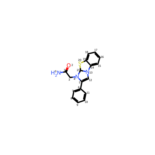 NC(=O)CN1C(c2ccccc2)=CN2c3ccccc3SC12